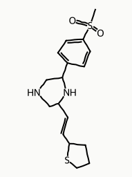 CS(=O)(=O)c1ccc(C2CNCC(/C=C/C3CCCS3)N2)cc1